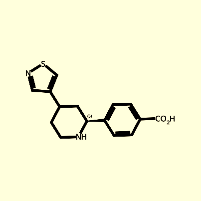 O=C(O)c1ccc([C@@H]2CC(c3cnsc3)CCN2)cc1